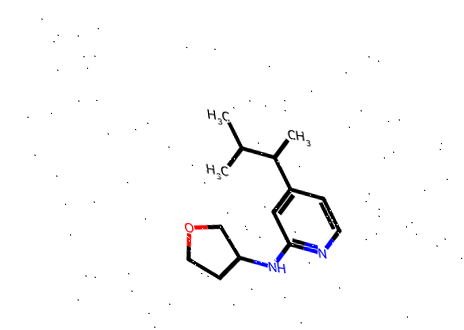 CC(C)C(C)c1ccnc(NC2CCOC2)c1